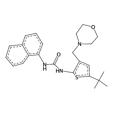 CC(C)(C)c1cc(CN2CCOCC2)c(NC(=O)Nc2cccc3ccccc23)s1